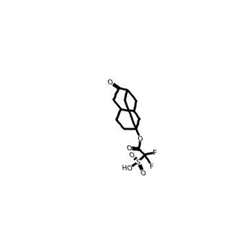 O=C1CC2CCC3(OC(=O)C(F)(F)S(=O)(=O)O)CC1CC2C3